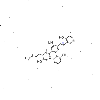 CSCCC(NC(=O)c1ccc(/C=C/c2cnccc2O)cc1-c1ccccc1C)C(=O)O.[LiH]